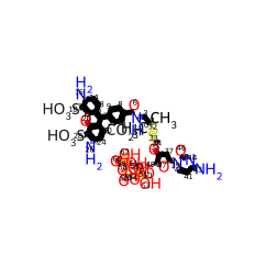 CC(C)(CNC(=O)c1ccc(C2=C3C=CC(N)C(S(=O)(=O)O)=C3Oc3c2ccc(N)c3S(=O)(=O)O)c(C(=O)O)c1)SSCOC1C[C@H](n2ccc(N)nc2=O)O[C@@H]1COP(=O)(O)OP(=O)(O)OP(=O)(O)O